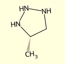 C[C@H]1CNNN1